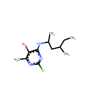 CCC(C)CC(C)Nc1nc(Cl)nc(C)c1Br